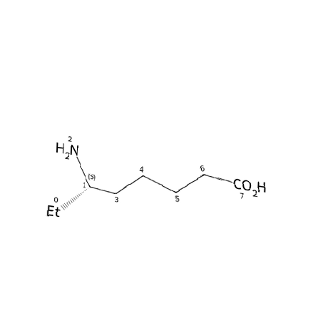 CC[C@H](N)CCCCC(=O)O